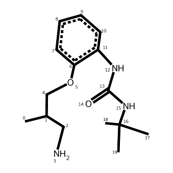 CC(CN)COc1ccccc1NC(=O)NC(C)(C)C